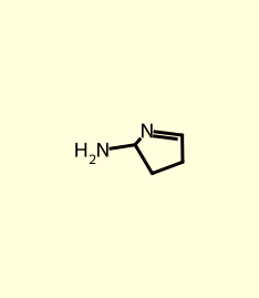 NC1CCC=N1